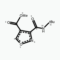 COC(=O)c1conc1C(=O)NC(C)(C)C